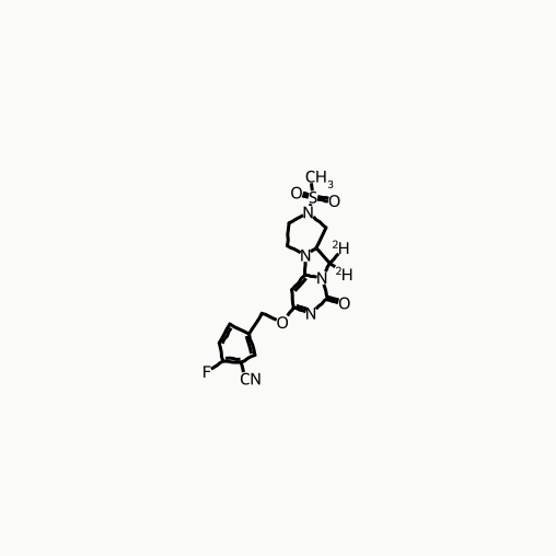 [2H]C1([2H])C2CN(S(C)(=O)=O)CCN2c2cc(OCc3ccc(F)c(C#N)c3)nc(=O)n21